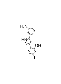 Nc1cccc(-c2cc(-c3ccc(I)cc3O)n[nH]2)c1